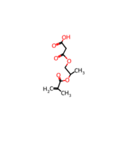 C=C(C)C(=O)OC(C)COC(=O)CC(=O)O